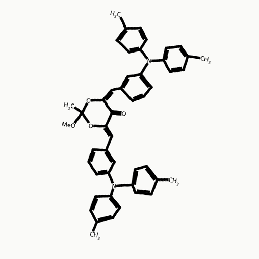 COC1(C)OC(=Cc2cccc(N(c3ccc(C)cc3)c3ccc(C)cc3)c2)C(=O)C(=Cc2cccc(N(c3ccc(C)cc3)c3ccc(C)cc3)c2)O1